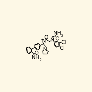 CN(C(=O)CN(CC(N)=O)c1ccc(Cl)c(Cl)c1)C(CN1CCCC1)c1ccc(-c2ccccc2C(N)=O)cc1